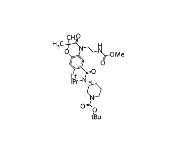 CCc1cc2c(cc1C(=O)N(C(C)C)[C@@H]1CCCN(C(=O)OC(C)(C)C)C1)N(CCNC(=O)OC)C(=O)C(C)(C)O2